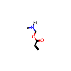 C=CC(=O)OCN(C)CC